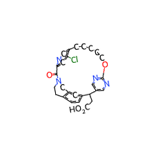 O=C(O)CC1c2cnc(nc2)OCCCCCc2cnc(cc2Cl)C(=O)N2CCc3ccc1cc3C2